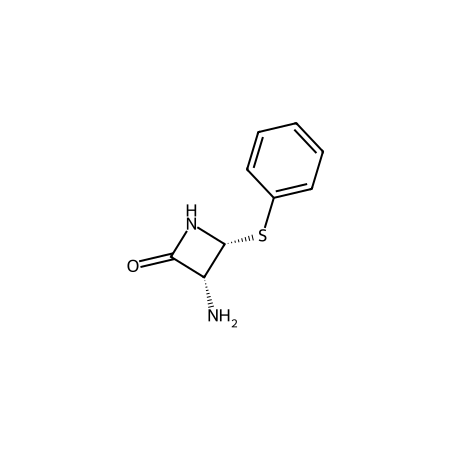 N[C@@H]1C(=O)N[C@@H]1Sc1ccccc1